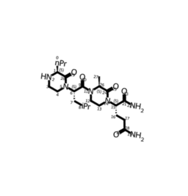 CCC[C@@H]1NCCN([C@@H](CC(C)C)C(=O)N2CCN([C@@H](CCC(N)=O)C(N)=O)C(=O)[C@@H]2C)C1=O